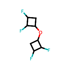 FC1CC(OC2CC(F)C2F)C1F